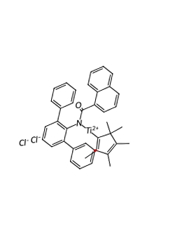 CC1=C(C)C(C)(C)[C]([Ti+2][N](C(=O)c2cccc3ccccc23)c2c(-c3ccccc3)cccc2-c2ccccc2)=C1C.[Cl-].[Cl-]